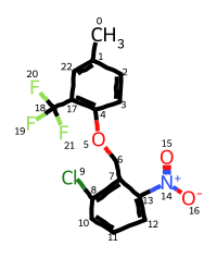 Cc1ccc(OCc2c(Cl)cccc2[N+](=O)[O-])c(C(F)(F)F)c1